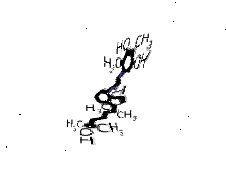 C=C1/C(=C/C=C2\CCC[C@]3(C)[C@@H]([C@@H](C)CCCC(C)(C)O)CC[C@@H]23)C[C@H](O)[C@@H](C)[C@H]1O